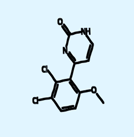 COc1ccc(Cl)c(Cl)c1-c1cc[nH]c(=O)n1